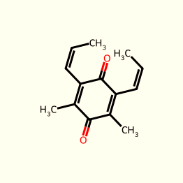 C/C=C\C1=C(C)C(=O)C(C)=C(/C=C\C)C1=O